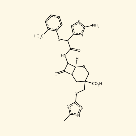 Cc1nnc(SCC2(C(=O)O)CS[C@@H]3C(NC(=O)C(Sc4ccccc4C(=O)O)c4csc(N)n4)C(=O)N3C2)s1